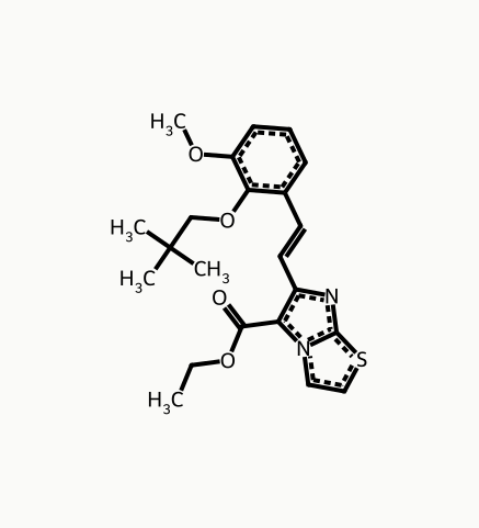 CCOC(=O)c1c(/C=C/c2cccc(OC)c2OCC(C)(C)C)nc2sccn12